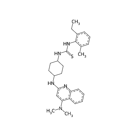 CCc1cccc(C)c1NC(=S)NC1CCC(Nc2cc(N(C)C)c3ccccc3n2)CC1